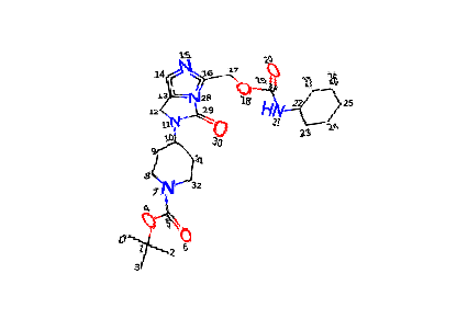 CC(C)(C)OC(=O)N1CCC(N2Cc3cnc(COC(=O)NC4CCCCC4)n3C2=O)CC1